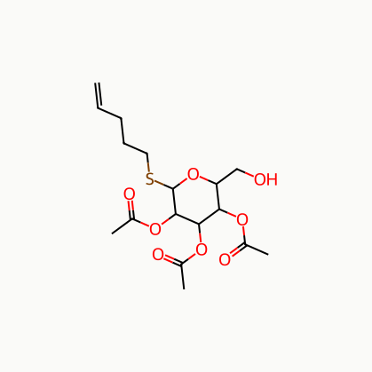 C=CCCCSC1OC(CO)C(OC(C)=O)C(OC(C)=O)C1OC(C)=O